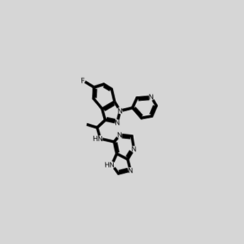 CC(Nc1ncnc2nc[nH]c12)c1nn(-c2cccnc2)c2ccc(F)cc12